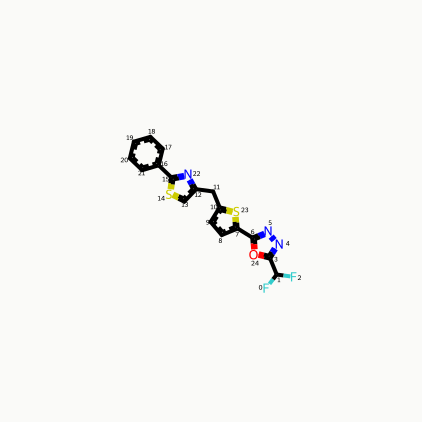 FC(F)c1nnc(-c2ccc(Cc3csc(-c4ccccc4)n3)s2)o1